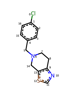 Clc1ccc(CN2CCc3n[c]sc3C2)cc1